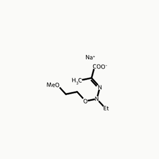 CCN(N=C(C)C(=O)[O-])OCCOC.[Na+]